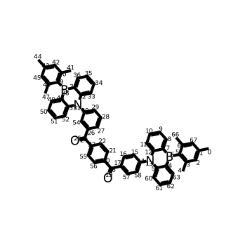 Cc1cc(C)c(B2c3ccccc3N(c3ccc(C(=O)c4ccc(C(=O)c5cccc(N6c7ccccc7B(c7c(C)cc(C)cc7C)c7ccccc76)c5)cc4)cc3)c3ccccc32)c(C)c1